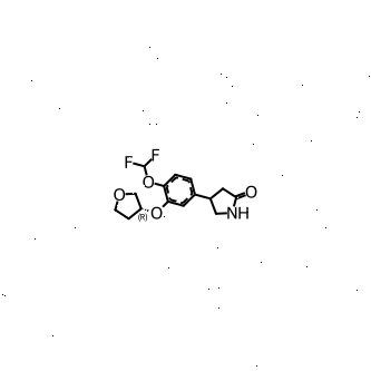 O=C1CC(c2ccc(OC(F)F)c(O[C@@H]3CCOC3)c2)CN1